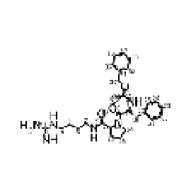 N=C(N)NCCCCNC(=O)C1CCCN1C(=O)[C@@H](Cc1ccccc1)NC(=O)OCc1ccccc1